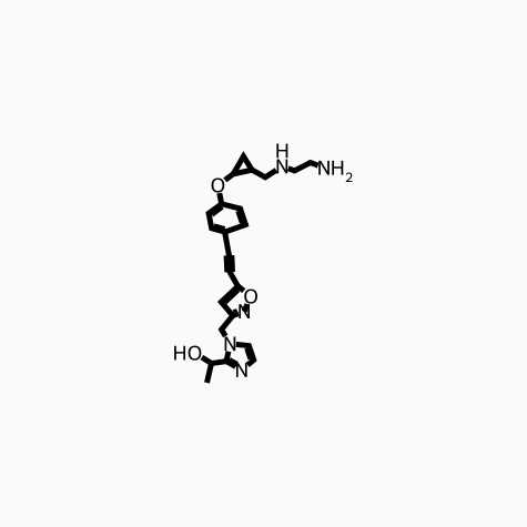 CC(O)c1nccn1Cc1cc(C#Cc2ccc(OC3CC3CNCCN)cc2)on1